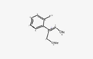 COC/C(=N\O)c1ccccc1F